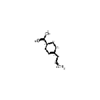 C=CCC1=CCC(C(=O)O)CC1